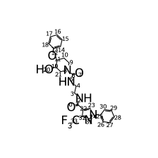 O=C(NCCNC(=O)N1CCC(Oc2ccccc2)C(O)C1)c1cn(-c2ccccc2)nc1C(F)(F)F